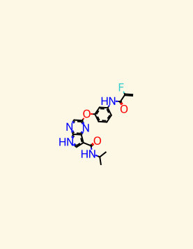 C=C(F)C(=O)Nc1cccc(Oc2cnc3[nH]cc(C(=O)NC(C)C)c3n2)c1